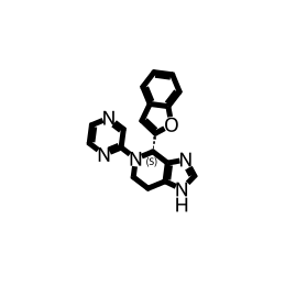 c1ccc2oc([C@@H]3c4nc[nH]c4CCN3c3cnccn3)cc2c1